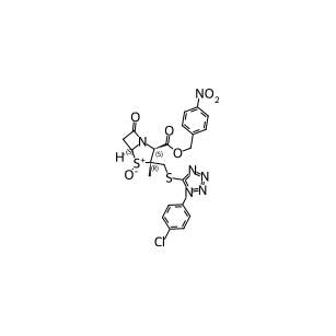 C[C@]1(CSc2nnnn2-c2ccc(Cl)cc2)[C@H](C(=O)OCc2ccc([N+](=O)[O-])cc2)N2C(=O)C[C@@H]2[S+]1[O-]